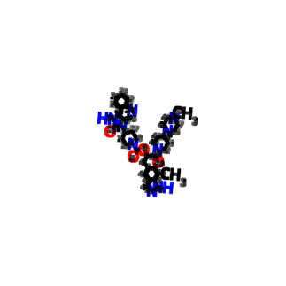 Cc1cc(CC(OC(=O)N2CCC(n3c(=O)[nH]c4c5ccccc5ncc43)CC2)C(=O)N2CCC(N3CCN(C)CC3)CC2)cc2cn[nH]c12